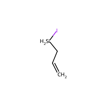 C=CC[SiH2]I